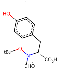 CC(C)(C)ON(C=O)[C@H](Cc1ccc(O)cc1)C(=O)O